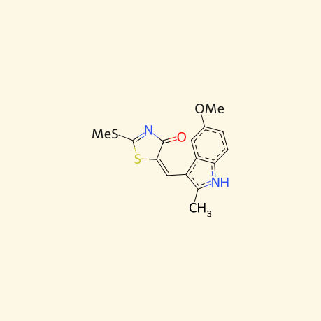 COc1ccc2[nH]c(C)c(C=C3SC(SC)=NC3=O)c2c1